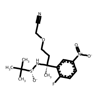 CC(C)(C)[S@@+]([O-])N[C@@](C)(CCOCC#N)c1cc([N+](=O)[O-])ccc1F